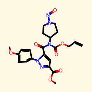 C=CCOC(=O)N(C(=O)c1cc(C(=O)OC)nn1-c1ccc(OC)cc1)C1CCN(N=O)CC1